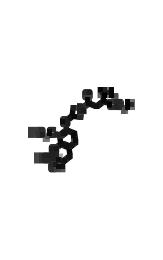 NC(CC(=O)N1CC(Oc2ccc3c(c2C(=O)O)O[B-](O)(O)CC3)C1)C(=O)O